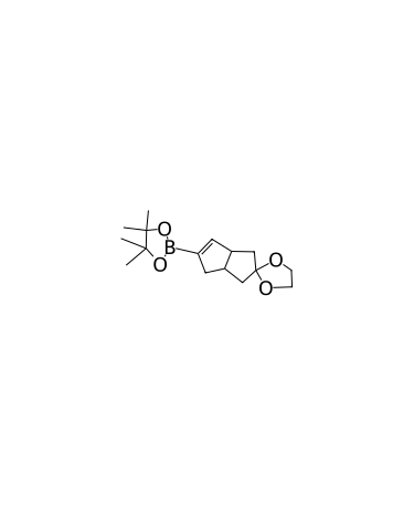 CC1(C)OB(C2=CC3CC4(CC3C2)OCCO4)OC1(C)C